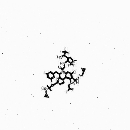 C[C@@H]1CC(C(=N)C(F)(F)F)=C(NCC(=O)NC(Cc2cc(F)cc(F)c2)c2nc(C#CC(C)(C)[S+]([O-])C3CC3)ccc2-c2ccc(Cl)c3c(NSCC4CC4)nn(CC(F)F)c23)C1(F)F